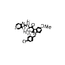 COc1ccc2c(c1)c(C(=O)C(=O)Nc1nc3ccncc3o1)c(C)n2Cc1ccc(Cl)cc1